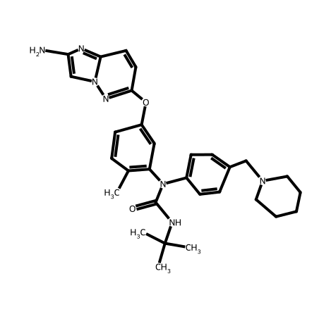 Cc1ccc(Oc2ccc3nc(N)cn3n2)cc1N(C(=O)NC(C)(C)C)c1ccc(CN2CCCCC2)cc1